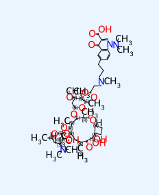 CO[C@]1(C)C[C@@H](C)C(=O)[C@@H](O)[C@@]2(O)CC[C@H]2OC(=O)[C@H](C)[C@@H](O[C@H]2C[C@@](C)(OC)[C@@H](OC(=O)CCN(C)CCCc3ccc4c(c3)c(=O)c(C(=O)O)cn4N(C)C)[C@H](C)O2)[C@H](C)[C@H]1O[C@@H]1O[C@H](C)C[C@H](N(C)C)[C@H]1O